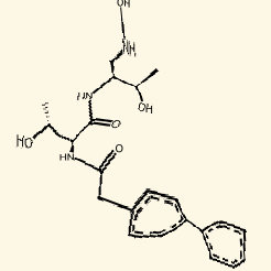 C[C@@H](O)[C@H](CNO)NC(=O)[C@@H](NC(=O)Cc1ccc(-c2ccccc2)cc1)[C@@H](C)O